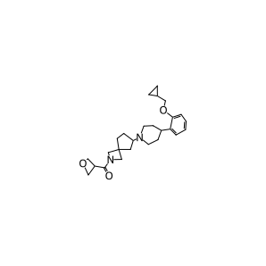 O=C(C1COC1)N1CC2(CCC(N3CCC(c4ccccc4OCC4CC4)CC3)C2)C1